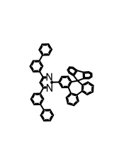 c1ccc(-c2cccc(-c3cc(-c4cccc(-c5ccccc5)c4)nc(-c4ccc5c(c4)-c4ccccc4-c4ccccc4C54c5ccccc5-c5ccccc54)n3)c2)cc1